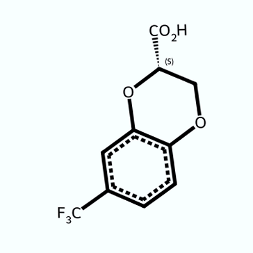 O=C(O)[C@@H]1COc2ccc(C(F)(F)F)cc2O1